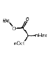 CCCCCCCCC(CCCCCC)C(=O)OC(C)CC